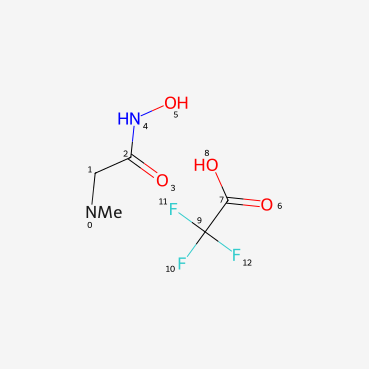 CNCC(=O)NO.O=C(O)C(F)(F)F